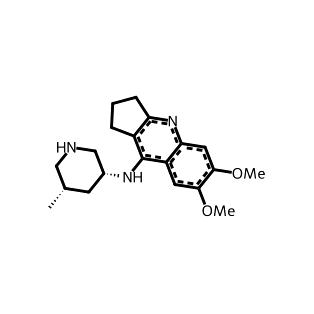 COc1cc2nc3c(c(N[C@H]4CNC[C@@H](C)C4)c2cc1OC)CCC3